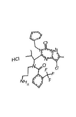 Cc1nn2c(=O)n(Cc3ccccc3)c(C(C(C)C)N(CCCN)C(=O)c3ccccc3C(F)(F)F)nc2c1Cl.Cl